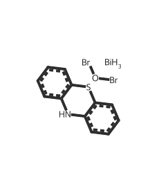 BrOBr.[BiH3].c1ccc2c(c1)Nc1ccccc1S2